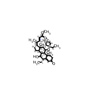 CC[C@H]1C2=CC(=O)CC[C@]2(C)C2C(O[Si](CC)(CC)CC)C[C@@]3(C)C(CC[C@@H]3[C@H](C)/C=C/C(=O)OC)C2[C@@H]1O